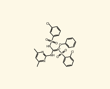 Cc1cc(C)nc(NC(NS(=O)(=O)c2cccc(Cl)c2)=[N+](Oc2ccccc2)S(=O)(=O)c2ccccc2Cl)n1